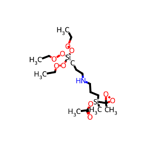 CCOO[Si](CCCNCCC[Si](C)(OC(C)=O)C1(C)OO1)(OOCC)OOCC